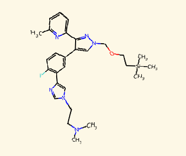 Cc1cccc(-c2nn(COCC[Si](C)(C)C)cc2-c2ccc(F)c(-c3cn(CCN(C)C)cn3)c2)n1